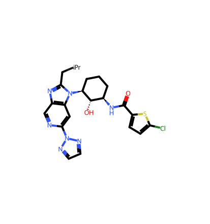 CC(C)Cc1nc2cnc(-n3nccn3)cc2n1[C@H]1CCC[C@@H](NC(=O)c2ccc(Cl)s2)[C@@H]1O